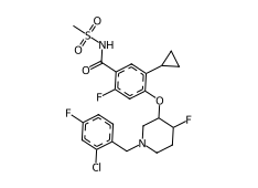 CS(=O)(=O)NC(=O)c1cc(C2CC2)c(OC2CN(Cc3ccc(F)cc3Cl)CCC2F)cc1F